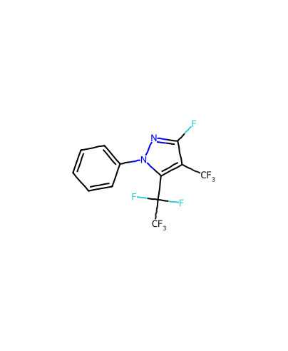 Fc1nn(-c2ccccc2)c(C(F)(F)C(F)(F)F)c1C(F)(F)F